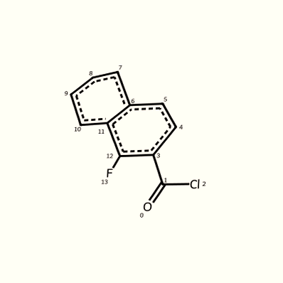 O=C(Cl)c1ccc2ccccc2c1F